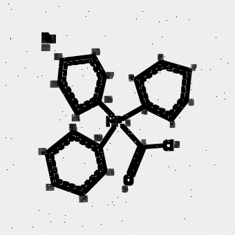 O=C(Cl)[PH](c1ccccc1)(c1ccccc1)c1ccccc1.[Ru]